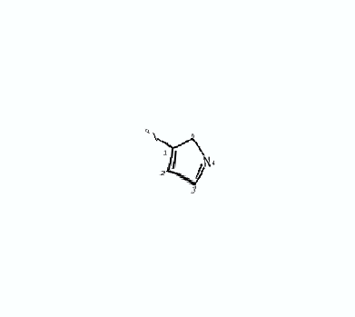 IC1=CC=NC1